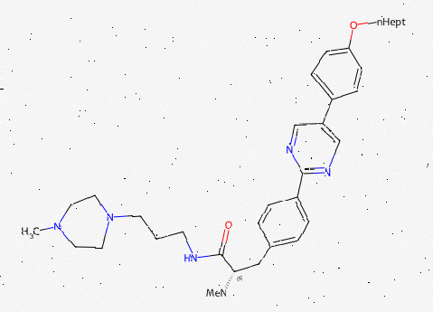 CCCCCCCOc1ccc(-c2cnc(-c3ccc(C[C@H](NC)C(=O)NCCCN4CCN(C)CC4)cc3)nc2)cc1